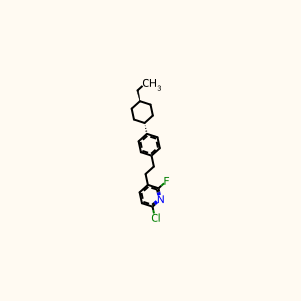 CC[C@H]1CC[C@H](c2ccc(CCc3ccc(Cl)nc3F)cc2)CC1